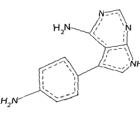 Nc1ccc(-c2c[nH]c3ncnc(N)c23)cc1